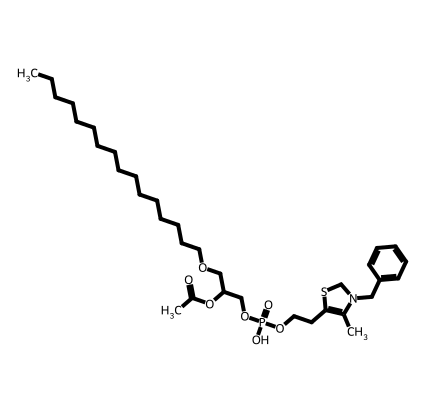 CCCCCCCCCCCCCCCCOCC(COP(=O)(O)OCCC1=C(C)N(Cc2ccccc2)CS1)OC(C)=O